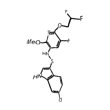 COc1nc(OCC(F)F)c(F)cc1NSc1c[nH]c2cc(Cl)ccc12